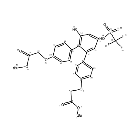 CC(C)(C)OC(=O)COc1ccc(-c2cccc(S)c2-c2ccc(OCC(=O)OC(C)(C)C)cc2)cc1.O=S(=O)(O)C(F)(F)F